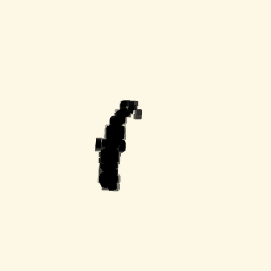 Cc1ccc2nc(-c3ccc(NC(=O)c4ccc(OCCCC(F)(F)F)cc4)cc3)sc2c1